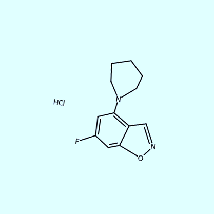 Cl.Fc1cc(N2CCCCC2)c2cnoc2c1